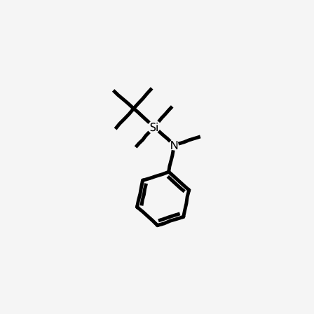 CN(c1ccccc1)[Si](C)(C)C(C)(C)C